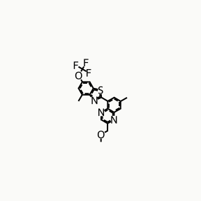 COCc1cnc2c(-c3nc4c(C)cc(OC(F)(F)F)cc4s3)cc(C)cc2n1